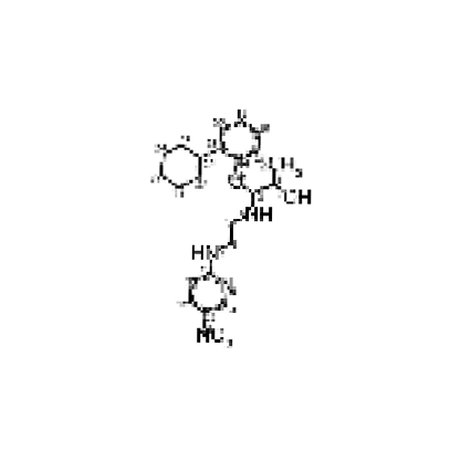 CC(O)C(NCCNc1ccc([N+](=O)[O-])cn1)Oc1ccccc1C1CCCCC1